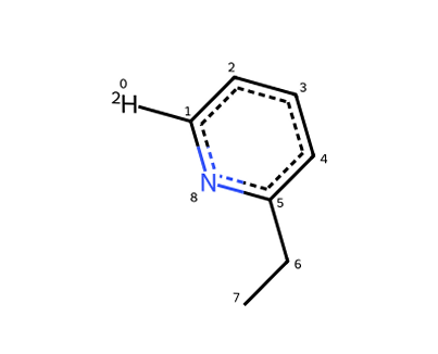 [2H]c1cccc(CC)n1